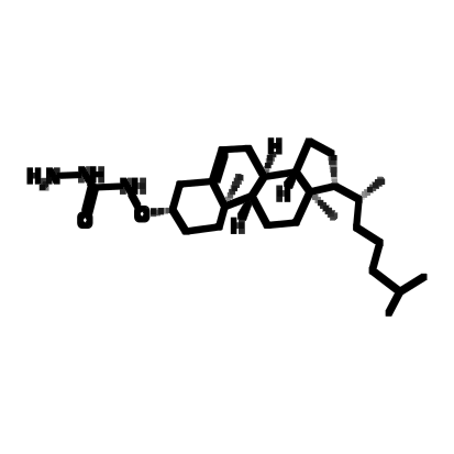 CC(C)CCC[C@@H](C)[C@H]1CC[C@H]2[C@@H]3CC=C4C[C@@H](ONC(=O)NN)CC[C@]4(C)[C@H]3CC[C@]12C